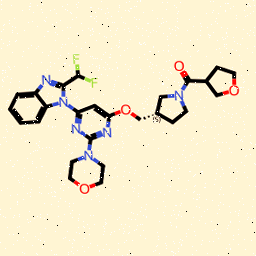 O=C(C1CCOC1)N1CC[C@H](COc2cc(-n3c(C(F)F)nc4ccccc43)nc(N3CCOCC3)n2)C1